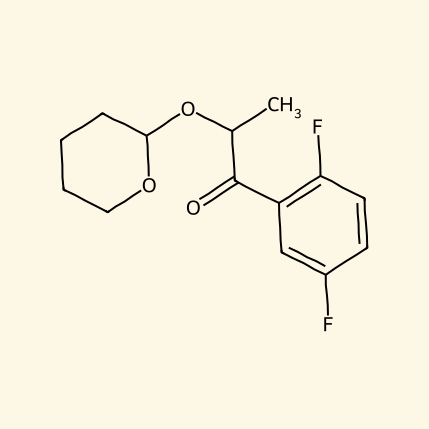 CC(OC1CCCCO1)C(=O)c1cc(F)ccc1F